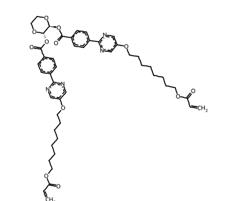 C=CC(=O)OCCCCCCCCOc1cnc(-c2ccc(C(=O)O[C@@H]3OCCO[C@H]3OC(=O)c3ccc(-c4ncc(OCCCCCCCCOC(=O)C=C)cn4)cc3)cc2)nc1